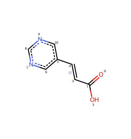 O=C(O)/C=C/c1cncnc1